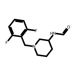 O=CNC1CCCN(Cc2c(F)cccc2F)C1